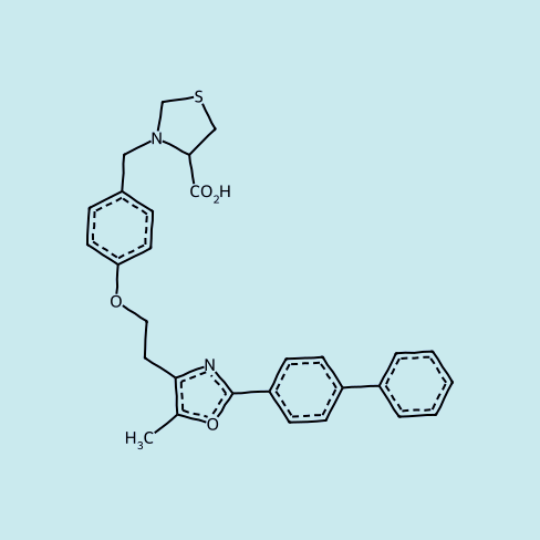 Cc1oc(-c2ccc(-c3ccccc3)cc2)nc1CCOc1ccc(CN2CSCC2C(=O)O)cc1